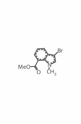 COC(=O)c1cccc2c(Br)cn(C)c12